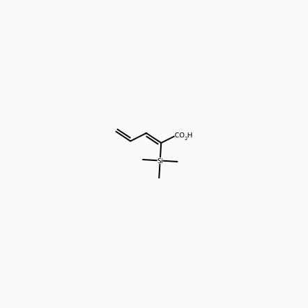 C=CC=C(C(=O)O)[Si](C)(C)C